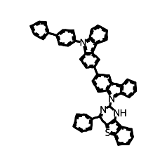 c1ccc(C2=NC(n3c4ccccc4c4cc(-c5ccc6c(c5)c5ccccc5n6-c5ccc(-c6ccccc6)cc5)ccc43)Nc3c2sc2ccccc32)cc1